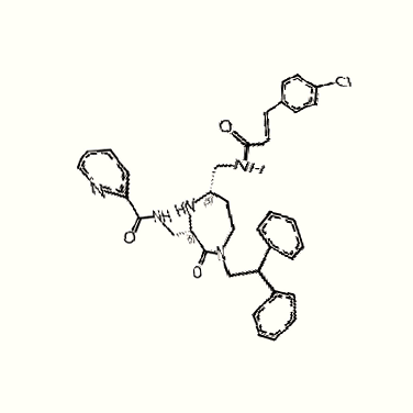 O=C(C=Cc1ccc(Cl)cc1)NC[C@@H]1CCN(CC(c2ccccc2)c2ccccc2)C(=O)[C@H](CNC(=O)c2ccccn2)N1